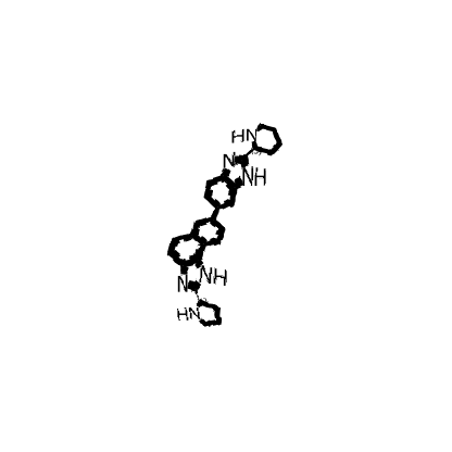 c1cc2c(ccc3nc([C@@H]4CCCN4)[nH]c32)cc1-c1ccc2nc([C@@H]3CCCCN3)[nH]c2c1